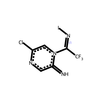 N=c1cnc(Cl)cn1/C(=N\I)C(F)(F)F